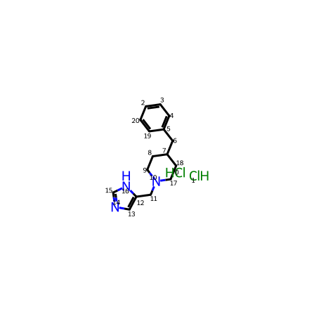 Cl.Cl.c1ccc(CC2CCN(Cc3cnc[nH]3)CC2)cc1